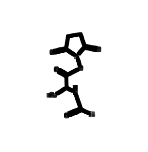 CCCCC(NC(=O)CC)C(=O)ON1C(=O)CCC1=O